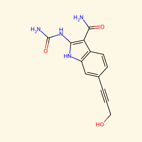 NC(=O)Nc1[nH]c2cc(C#CCO)ccc2c1C(N)=O